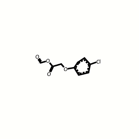 O=[C]OC(=O)COc1ccc(Cl)cc1